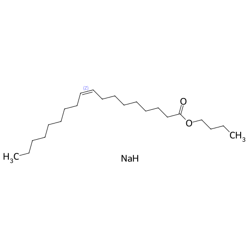 CCCCCCCC/C=C\CCCCCCCC(=O)OCCCC.[NaH]